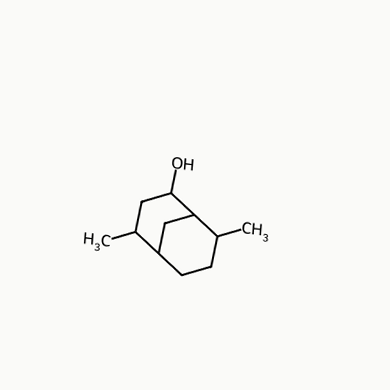 CC1CC(O)C2CC1CCC2C